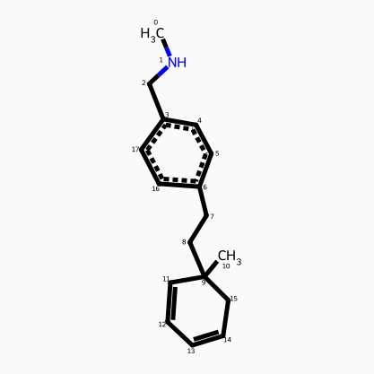 CNCc1ccc(CCC2(C)C=CC=CC2)cc1